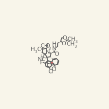 CC1(C)OC[C@H](CCNC(=O)[C@H]2[C@H](c3cccc(Cl)c3F)[C@@](C#N)(c3ccc(Cl)cc3F)[C@@H]3CC(C)(C)C(=O)N32)O1